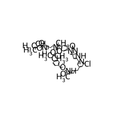 C[C@@H](CCCc1cc(Cl)nc(-c2cc3cn(-c4ccc([C@H](C)N(CCCNC(=O)OC(C)(C)C)C(=O)OC(C)(C)C)cc4)c(=O)nc3[nH]2)c1)NC(=O)OCc1ccccc1